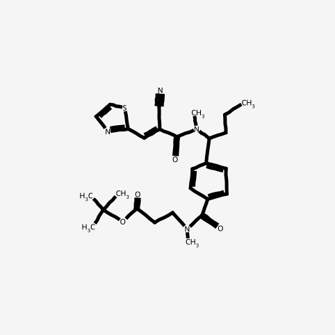 CCCC(c1ccc(C(=O)N(C)CCC(=O)OC(C)(C)C)cc1)N(C)C(=O)/C(C#N)=C/c1nccs1